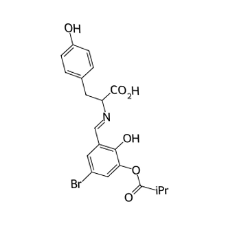 CC(C)C(=O)Oc1cc(Br)cc(C=NC(Cc2ccc(O)cc2)C(=O)O)c1O